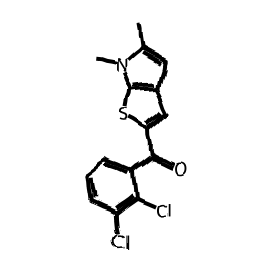 Cc1cc2cc(C(=O)c3cccc(Cl)c3Cl)sc2n1C